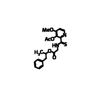 COc1ccnc(C(=S)NCC(=O)OC(C)Cc2ccccc2)c1OC(C)=O